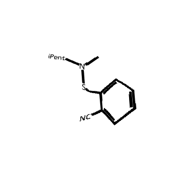 CCCC(C)N(C)Sc1ccccc1C#N